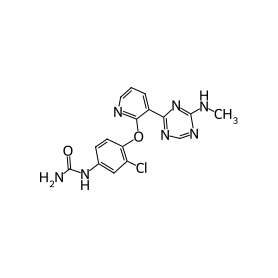 CNc1ncnc(-c2cccnc2Oc2ccc(NC(N)=O)cc2Cl)n1